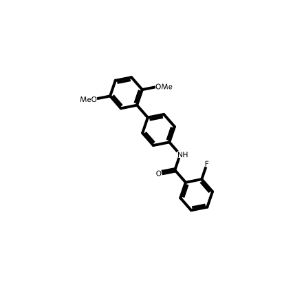 COc1ccc(OC)c(-c2ccc(NC(=O)c3ccccc3F)cc2)c1